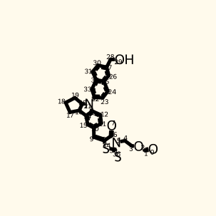 O=COCCN1C(=O)/C(=C\c2ccc3c(c2)C2CCCC2N3c2ccc3cc(CO)ccc3c2)SC1=S